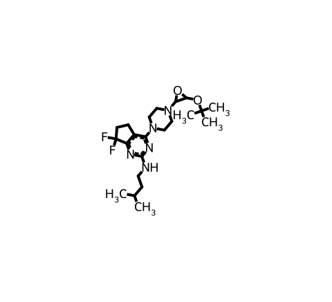 CC(C)CCNc1nc(N2CCN(C3OC3OC(C)(C)C)CC2)c2c(n1)C(F)(F)CC2